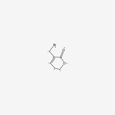 O=C1OCCC=C1CBr